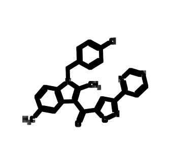 Cc1ccc2c(c1)c(C(=O)c1cc(-c3ccncn3)no1)c(C)n2Cc1ccc(Cl)cc1